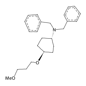 COCCCO[C@H]1CC[C@H](N(Cc2ccccc2)Cc2ccccc2)CC1